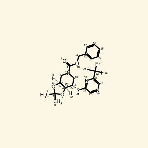 CC1(C)O[C@H]2[C@H](CN(C(=O)OCc3ccccc3)C[C@@H]2Sc2cncc(C(F)(F)F)n2)O1